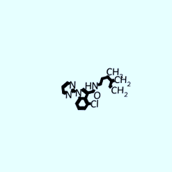 C=CC(=C)C(C)CCNC(=O)c1cn(-c2ncccn2)c2cccc(Cl)c12